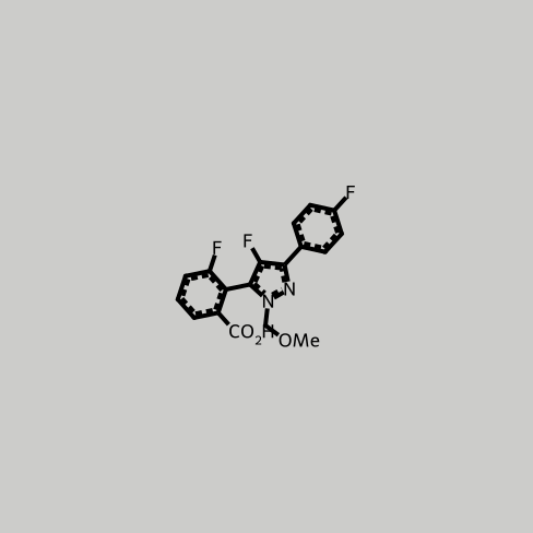 COCn1nc(-c2ccc(F)cc2)c(F)c1-c1c(F)cccc1C(=O)O